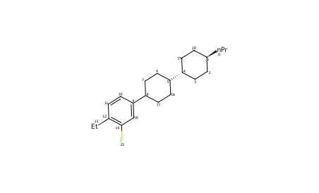 CCC[C@H]1CC[C@H](C2CCC(c3ccc(CC)c(F)c3)CC2)CC1